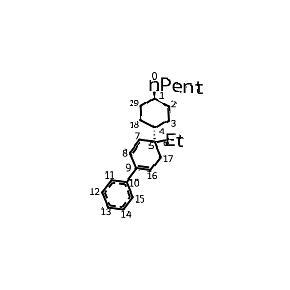 CCCCC[C@H]1CC[C@H](C2(CC)C=CC(c3ccccc3)=CC2)CC1